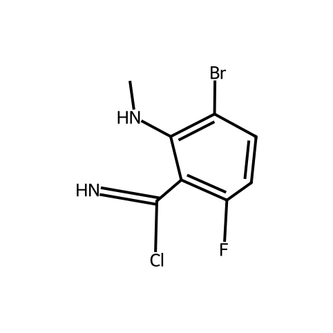 CNc1c(Br)ccc(F)c1C(=N)Cl